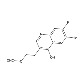 O=COCCc1cnc2cc(F)c(Br)cc2c1O